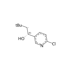 CC(C)(C)[CH][C@@H](O)c1ccc(Cl)nc1